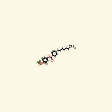 CCCCCCC[Si@H]1CC[C@H](C(=O)Oc2ccc(OC(F)(F)F)c(F)c2)CC1